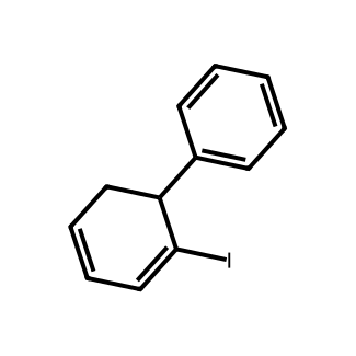 IC1=CC=CCC1c1ccccc1